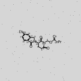 CCCC(=O)OCN1C(=O)CCC(N2Cc3cc(CC)ccc3C2=O)C1=O